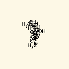 COCCN1C(=O)CCC(N2C(=O)c3c(O)ccc(NC(=O)OC(C)(C)C)c3C2=O)C1=O